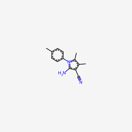 Cc1ccc(-n2c(C)c(C)c(C#N)c2N)cc1